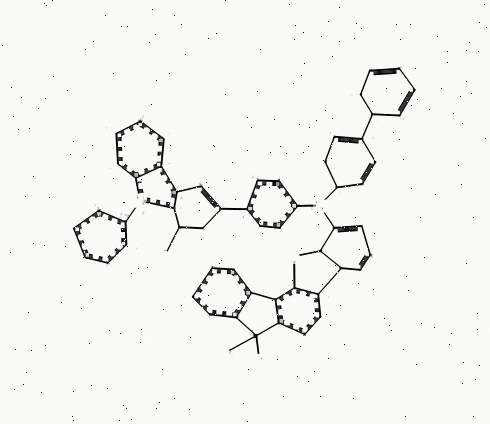 CC1CC(c2ccc(N(C3=CC=CC4c5ccc6c(c5SC34)-c3ccccc3C6(C)C)C3C=CC(C4C=CC=CC4)=CC3)cc2)=Cc2c1n(-c1ccccc1)c1ccccc21